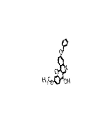 COc1ccc(C(O)c2cnc3cc(OCc4ccccc4)ccc3c2Cl)cc1